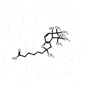 CC1(CCCCCC(=O)O)CC2=C(C=CC(O)(C(C)(C)C)C2C(C)(C)C)O1